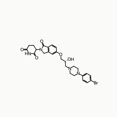 O=C1CCC(N2Cc3cc(OC[C@H](O)CN4CCN(c5ccc(Br)cc5)CC4)ccc3C2=O)C(=O)N1